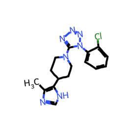 Cc1nc[nH]c1C1CCN(c2nnnn2-c2ccccc2Cl)CC1